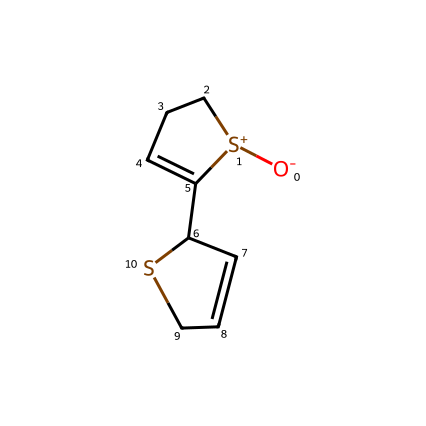 [O-][S+]1CCC=C1C1C=CCS1